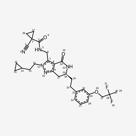 N#CC1(C(=O)NCc2c3c(nn2CCC2CC2)C[C@H](CCc2cccc(OCC(F)(F)F)c2)NC3=O)CC1